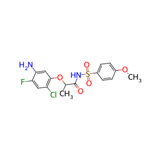 COc1ccc(S(=O)(=O)NC(=O)C(C)Oc2cc(N)c(F)cc2Cl)cc1